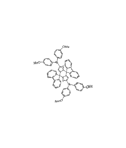 COc1ccc(N(c2ccc(OC)cc2)c2cc3c(s2)C2(c4ccccc4-c4ccccc42)c2cc(N(c4ccc(OC)cc4)c4ccc(OC)cc4)sc2C32c3ccccc3-c3ccccc32)cc1